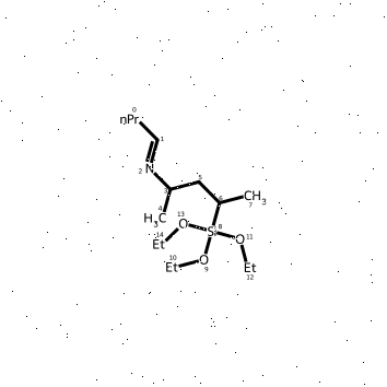 CCCC=NC(C)CC(C)[Si](OCC)(OCC)OCC